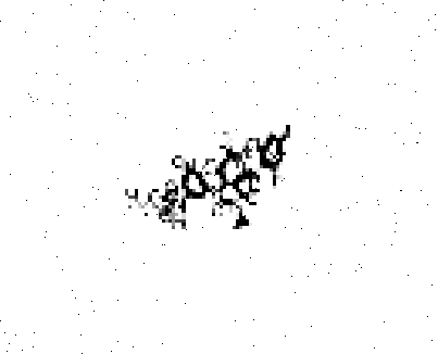 Cc1c(=O)n(C)c(Nc2ccc(I)cc2F)c2c(=O)n(C3CC3)c(=O)n(-c3cc(Cl)cc(NS(C)(=O)=O)c3)c12